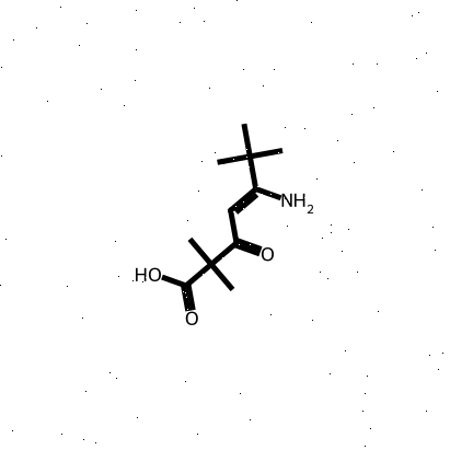 CC(C)(C)C(N)=CC(=O)C(C)(C)C(=O)O